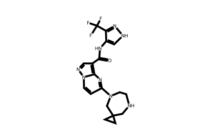 O=C(Nc1c[nH]nc1C(F)(F)F)c1cnn2ccc(N3CCNCC4(CC4)C3)nc12